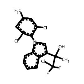 CC(O)(c1cn(-c2c(Cl)cc(C(F)(F)F)cc2Cl)c2ccccc12)C(F)(F)Cl